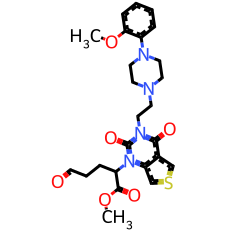 COC(=O)C(CCC=O)n1c(=O)n(CCN2CCN(c3ccccc3OC)CC2)c(=O)c2cscc21